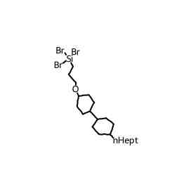 CCCCCCCC1CCC(C2CCC(OCCC[Si](Br)(Br)Br)CC2)CC1